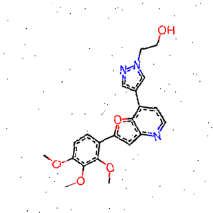 COc1ccc(-c2cc3nccc(-c4cnn(CCO)c4)c3o2)c(OC)c1OC